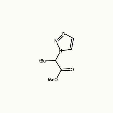 COC(=O)C(n1ccnn1)C(C)(C)C